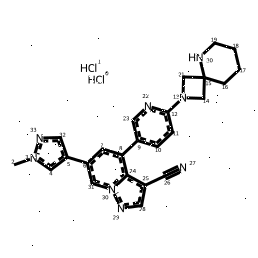 Cl.Cl.Cn1cc(-c2cc(-c3ccc(N4CC5(CCCCN5)C4)nc3)c3c(C#N)cnn3c2)cn1